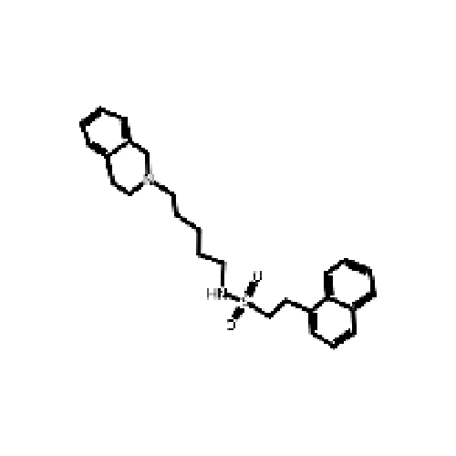 O=S(=O)(CCc1cccc2ccccc12)NCCCCCN1CCc2ccccc2C1